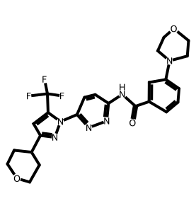 O=C(Nc1ccc(-n2nc(C3CCOCC3)cc2C(F)(F)F)nn1)c1cccc(N2CCOCC2)c1